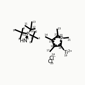 CC(C)(C)P(=N)(C(C)(C)C)C(C)(C)C.Cc1c(C)[c]([Ti+2])p(C)c1C.[Cl-].[Cl-]